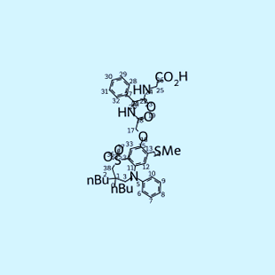 CCCCC1(CCCC)CN(c2ccccc2)c2cc(SC)c(OCC(=O)N[C@@H](C(=O)NCC(=O)O)c3ccccc3)cc2S(=O)(=O)C1